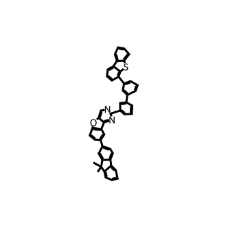 CC1(C)c2ccccc2-c2ccc(-c3ccc4oc5cnc(-c6cccc(-c7cccc(-c8cccc9c8sc8ccccc89)c7)c6)nc5c4c3)cc21